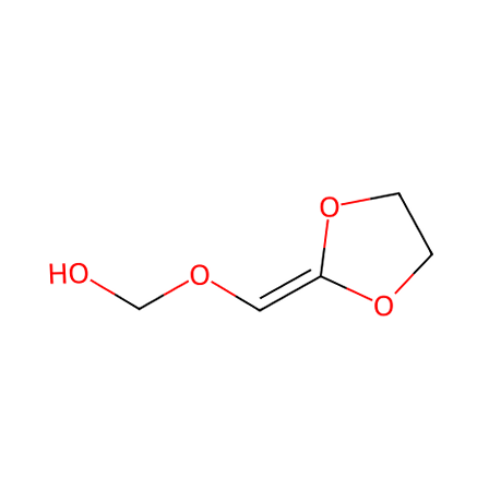 OCOC=C1OCCO1